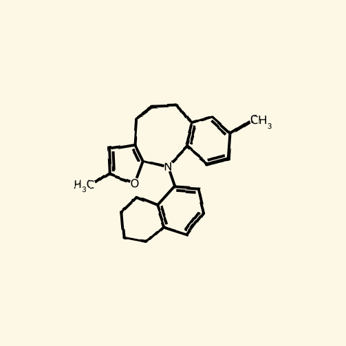 Cc1ccc2c(c1)CCCc1cc(C)oc1N2c1cccc2c1CCCC2